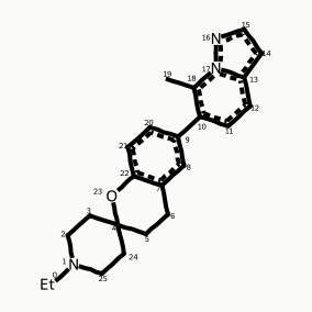 CCN1CCC2(CCc3cc(-c4ccc5ccnn5c4C)ccc3O2)CC1